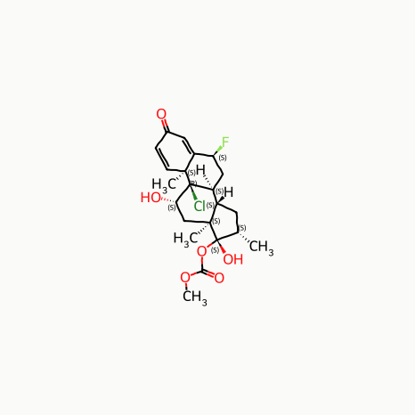 COC(=O)O[C@@]1(O)[C@@H](C)C[C@H]2[C@@H]3C[C@H](F)C4=CC(=O)C=C[C@]4(C)[C@@]3(Cl)[C@@H](O)C[C@@]21C